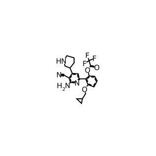 N#Cc1c(C2CCCNC2)cc(-c2c(OCC3CC3)cccc2OC(=O)C(F)(F)F)nc1N